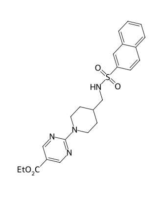 CCOC(=O)c1cnc(N2CCC(CNS(=O)(=O)c3ccc4ccccc4c3)CC2)nc1